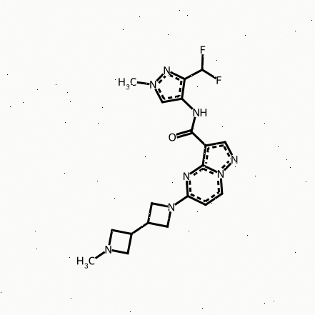 CN1CC(C2CN(c3ccn4ncc(C(=O)Nc5cn(C)nc5C(F)F)c4n3)C2)C1